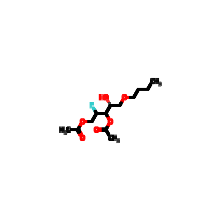 CCCCOC[C@@H](O)C(OC(C)=O)C(F)COC(C)=O